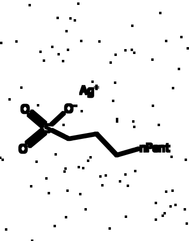 CCCCCCCCS(=O)(=O)[O-].[Ag+]